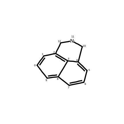 c1cc2c3c(cccc3c1)C[N]C2